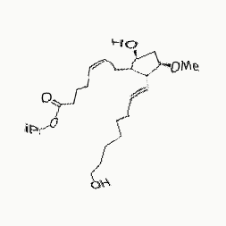 CO[C@@H]1C[C@H](O)C(C/C=C\CCCC(=O)OC(C)C)[C@H]1/C=C/CCCCCCO